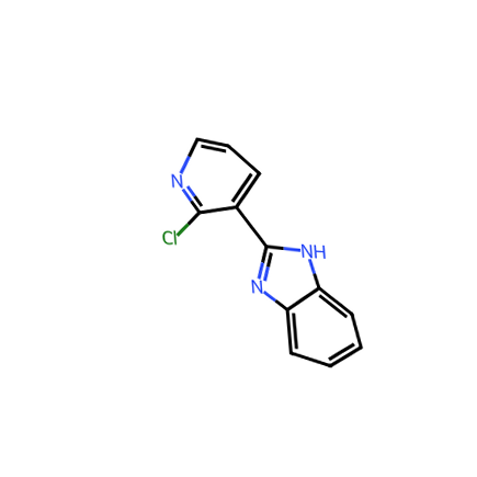 Clc1ncccc1-c1nc2ccccc2[nH]1